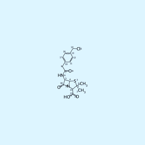 CC1(C)SC2C(NC(=O)Cc3ccc(CCl)cc3)C(=O)N2C1C(=O)O